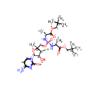 C[C@H](NP(=O)(N[C@@H](C)C(=O)OCC(C)(C)C)OC[C@@]1(C)O[C@@H](n2ccc(N)nc2=O)[C@H](O)[C@@H]1F)C(=O)OCC(C)(C)C